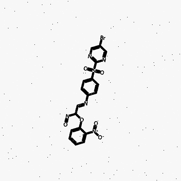 O=NC(C=Nc1ccc(S(=O)(=O)c2ncc(Br)cn2)cc1)Oc1ccccc1[N+](=O)[O-]